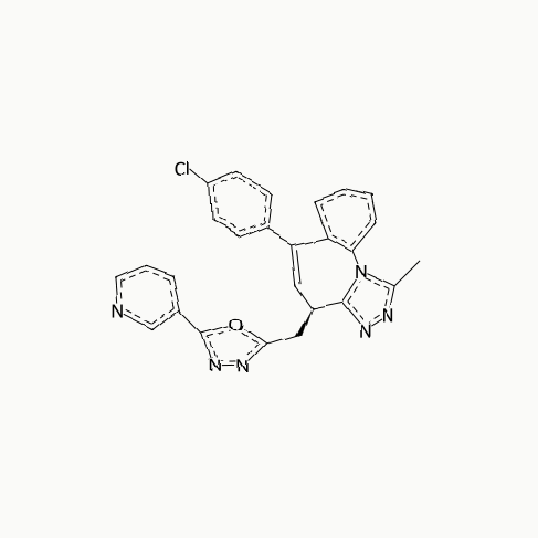 Cc1nnc2n1-c1ccccc1C(c1ccc(Cl)cc1)=C[C@@H]2Cc1nnc(-c2cccnc2)o1